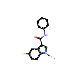 Cn1cc(C(=O)Nc2ccccc2)c2cc(F)ccc21